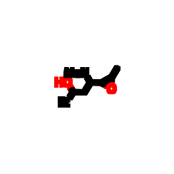 CCC(O)CC(NC)C1OC1C